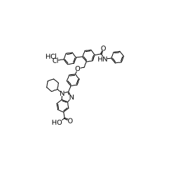 Cl.O=C(O)c1ccc2c(c1)nc(-c1ccc(OCc3cc(C(=O)Nc4ccccc4)ccc3-c3ccc(Cl)cc3)cc1)n2C1CCCCC1